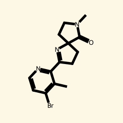 Cc1c(Br)ccnc1C1=NC2(CC1)CCN(C)C2=O